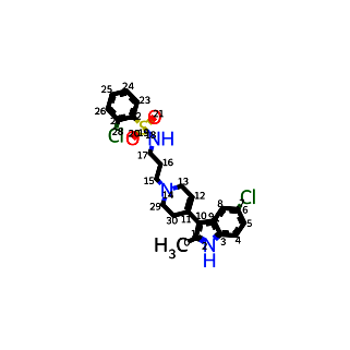 Cc1[nH]c2ccc(Cl)cc2c1C1=CCN(CCCNS(=O)(=O)c2ccccc2Cl)CC1